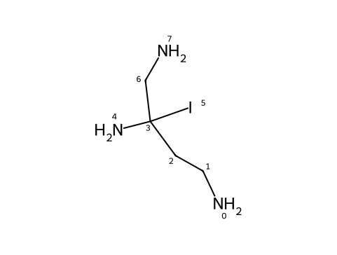 NCCC(N)(I)CN